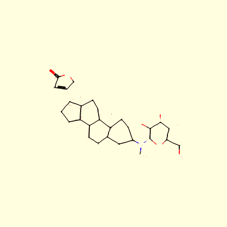 CON(C1CC[C@@]2(C)C(CCC3C2CC[C@]2(C)[C@@H](C4=CC(=O)OC4)CC[C@]32O)C1)[C@@H]1OC(CO)[C@@H](O)[C@H](O)C1O